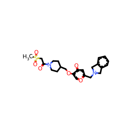 CS(=O)(=O)CC(=O)N1CCC(COc2coc(CN3Cc4ccccc4C3)cc2=O)CC1